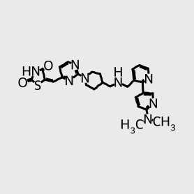 CN(C)c1ccc(-c2ncccc2CNCC2CCN(c3nccc(C=C4SC(=O)NC4=O)n3)CC2)cn1